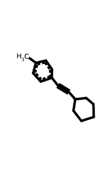 Cc1ccc(C#C[C]2CCCCC2)cc1